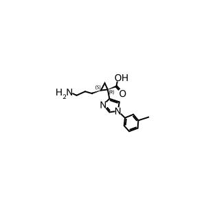 Cc1cccc(-n2cnc([C@@]3(C(=O)O)C[C@@H]3CCCN)c2)c1